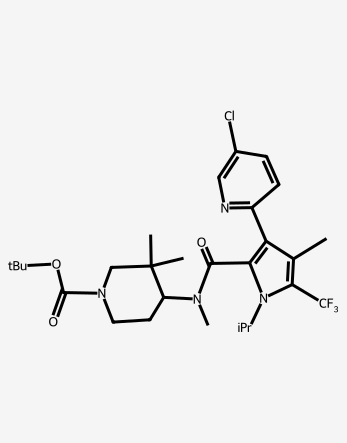 Cc1c(-c2ccc(Cl)cn2)c(C(=O)N(C)C2CCN(C(=O)OC(C)(C)C)CC2(C)C)n(C(C)C)c1C(F)(F)F